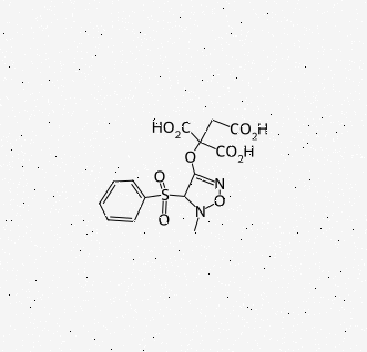 CN1ON=C(OC(CC(=O)O)(C(=O)O)C(=O)O)C1S(=O)(=O)c1ccccc1